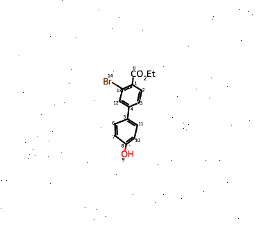 CCOC(=O)c1ccc(-c2ccc(O)cc2)cc1Br